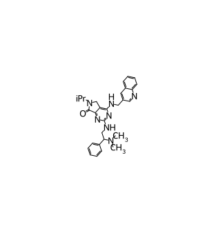 CC(C)N1Cc2c(NCc3cnc4ccccc4c3)nc(NCC(c3ccccc3)N(C)C)nc2C1=O